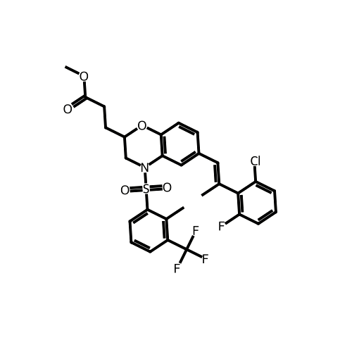 COC(=O)CCC1CN(S(=O)(=O)c2cccc(C(F)(F)F)c2C)c2cc(C=C(C)c3c(F)cccc3Cl)ccc2O1